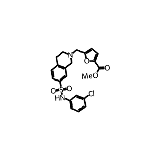 COC(=O)c1ccc(CN2CCc3ccc(S(=O)(=O)Nc4cccc(Cl)c4)cc3C2)o1